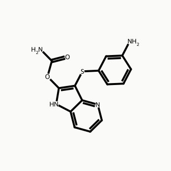 NC(=O)Oc1[nH]c2cccnc2c1Sc1cccc(N)c1